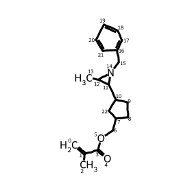 C=C(C)C(=O)OCC1CCC(C2C(C)N2Cc2ccccc2)C1